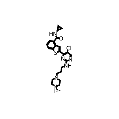 CC(C)N1CCN(CCCNc2ncc(Cl)c(-c3cc4c(C(=O)NC5CC5)cccc4s3)n2)CC1